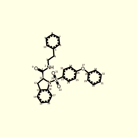 O=C(NCCc1ccccc1)[C@@H]1Cc2ccccc2N1S(=O)(=O)c1ccc(Oc2ccccc2)cc1